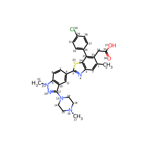 Cc1cc2nc(-c3ccc4c(c3)c(N3CCN(C)CC3)nn4C)sc2c(-c2ccc(Cl)cc2)c1CC(=O)O